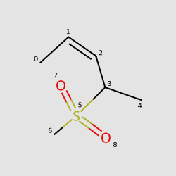 C/C=C\C(C)S(C)(=O)=O